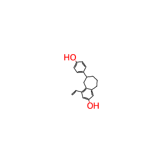 C=Cc1cc(O)cc2c1CC(c1ccc(O)cc1)CCC2